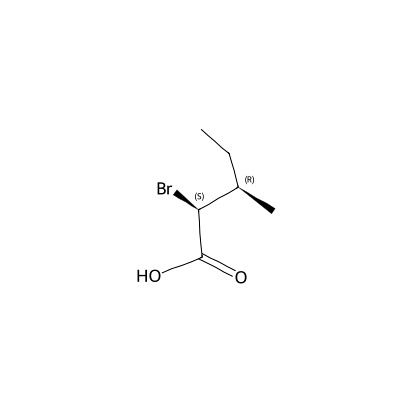 CC[C@@H](C)[C@H](Br)C(=O)O